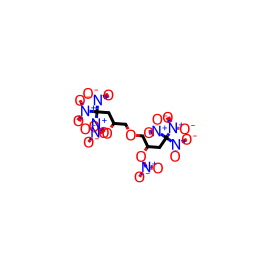 O=[N+]([O-])OC(COCC(CC([N+](=O)[O-])([N+](=O)[O-])[N+](=O)[O-])O[N+](=O)[O-])CC([N+](=O)[O-])([N+](=O)[O-])[N+](=O)[O-]